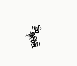 C=CC(=O)Nc1cccc(-c2cnc3[nH]cc(C(=O)c4c(F)ccc(NS(=O)(=O)CCC)c4F)c3c2)c1